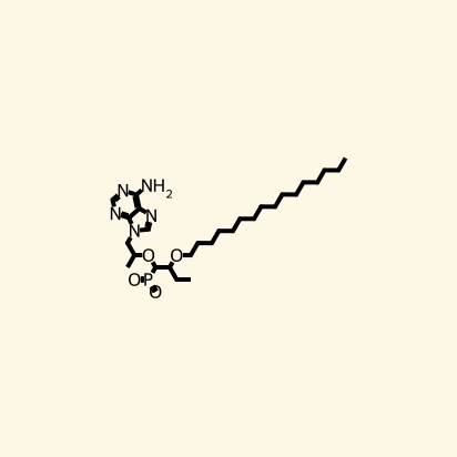 CCCCCCCCCCCCCCCCOC(CC)C(OC(C)Cn1cnc2c(N)ncnc21)P(=O)=O